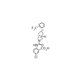 O=C(O)c1cc(Cl)ccc1NC(=O)N1CC2C[C@H](c3ccccc3C(F)(F)F)C[C@@H]2C1